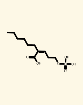 CCCCCCC(=CCCOP(=O)(O)O)C(=O)O